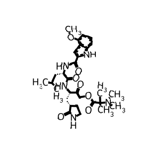 COc1cccc2[nH]c(C(=O)N[C@@H](CC(C)C)C(=O)N[C@@H](C[C@@H]3CCNC3=O)C(=O)COC(=O)C(C)(C)N(C)C)cc12